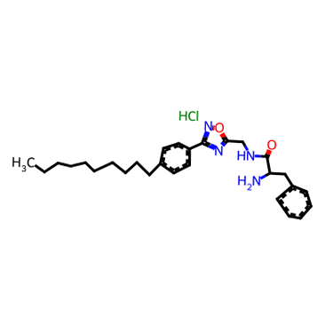 CCCCCCCCCCc1ccc(-c2noc(CNC(=O)C(N)Cc3ccccc3)n2)cc1.Cl